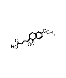 COc1ccc2c(c1)CCc1c-2noc1CCC(=O)O